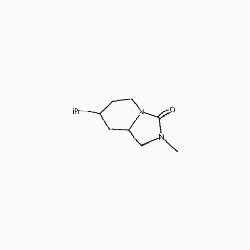 CC(C)C1CCN2C(=O)N(C)CC2C1